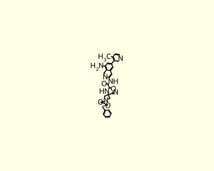 Cc1ccncc1-c1cc(N)c2cnc(NC(=O)C(=O)NC3(C#N)CN(S(=O)(=O)Cc4ccccc4)C3)cc2c1